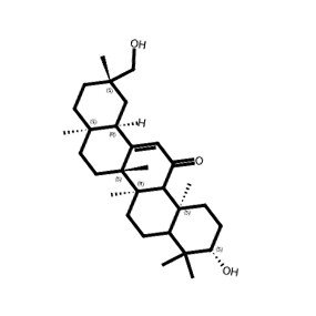 CC1(C)C2CC[C@]3(C)C(C(=O)C=C4[C@@H]5C[C@@](C)(CO)CC[C@]5(C)CC[C@]43C)[C@@]2(C)CC[C@@H]1O